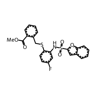 COC(=O)c1ccccc1CSc1ccc(F)cc1NS(=O)(=O)c1cc2ccccc2o1